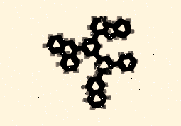 c1ccc(-c2cc(-c3cc(-c4ccnc5c4Cc4ccccc4-5)cc(-c4cc5ccccc5c5ccccc45)c3)nc(-c3ccc4ccccc4c3)n2)cc1